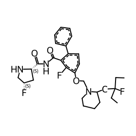 CCC(F)(CC)CC1CCCCN1COc1ccc(-c2ccccc2)c(C(=O)NC(=O)[C@@H]2C[C@H](F)CN2)c1F